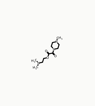 CN(C)CCOC(=O)C(=O)N1CCN(C)CC1